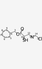 O=C(OCc1ccccc1)[C@H](S)C/N=C/Cl